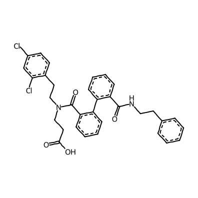 O=C(O)CCN(CCc1ccc(Cl)cc1Cl)C(=O)c1ccccc1-c1ccccc1C(=O)NCCc1ccccc1